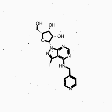 OC[C@H]1O[C@@H](n2nc(I)c3c(NCc4ccncc4)ncnc32)[C@@H](O)[C@H]1O